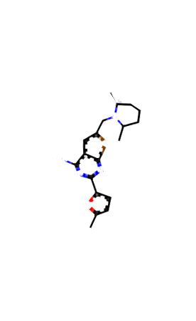 Cc1ccc(-c2nc(N)c3cc(CN4C(C)CCC[C@@H]4C)sc3n2)o1